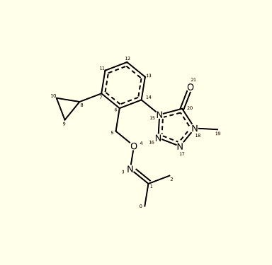 CC(C)=NOCc1c(C2CC2)cccc1-n1nnn(C)c1=O